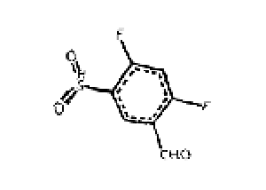 O=Cc1cc([SH](=O)=O)c(F)cc1F